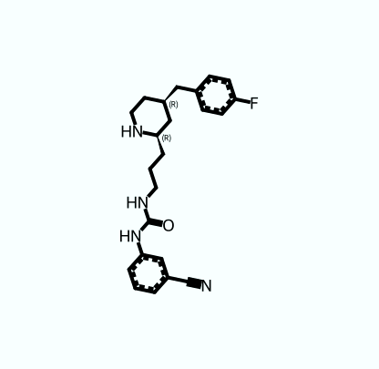 N#Cc1cccc(NC(=O)NCCC[C@@H]2C[C@H](Cc3ccc(F)cc3)CCN2)c1